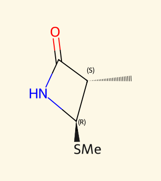 CS[C@H]1NC(=O)[C@@H]1C